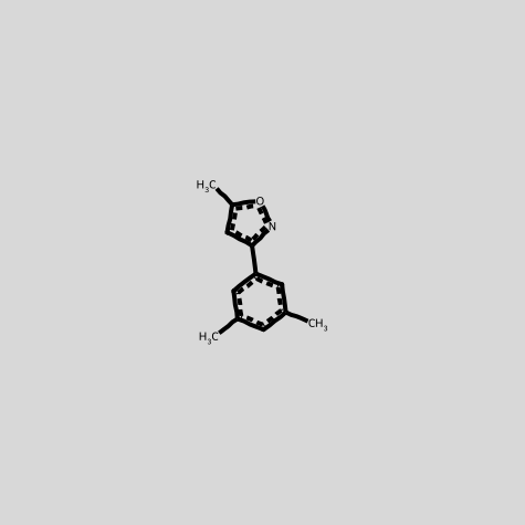 Cc1cc(C)cc(-c2cc(C)on2)c1